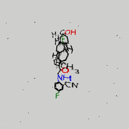 C[C@@]1(O)CC[C@@]2(F)[C@H](CC[C@H]3[C@@H]4CC[C@H](C(=O)CNc5ccc(F)cc5C#N)[C@@]4(C)CC[C@@H]32)C1